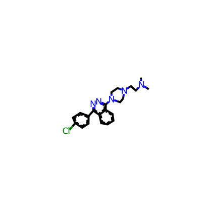 CN(C)CCN1CCN(c2nnc(-c3ccc(Cl)cc3)c3ccccc23)CC1